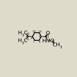 CONC(=O)[C@H]1CC[C@@H](C(C)C)CC1